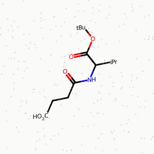 CC(C)C(NC(=O)CCC(=O)O)C(=O)OC(C)(C)C